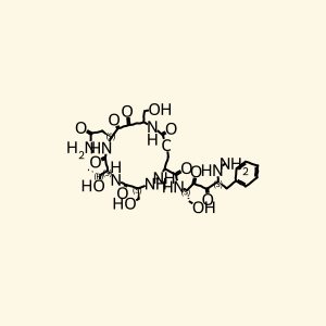 C[C@@H](O)[C@@H]1NC(=O)[C@H](CO)NNC(C(=O)N[C@@H](CO)C(=O)C(=O)[C@H](Cc2ccccc2)NN)CCC(=O)NC(CO)C(=O)C(=O)[C@H](CC(N)=O)NC1=O